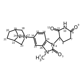 Cn1c(=O)n(C2CCC(=O)NC2=O)c2ccc(N3CC4CCC(C3)N4)cc21